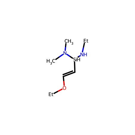 CCN[SiH](C=COCC)N(C)C